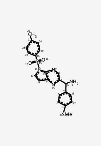 CSc1ccc(C(N)c2cnc3c(ccn3S(=O)(=O)c3ccc(C)cc3)n2)cc1